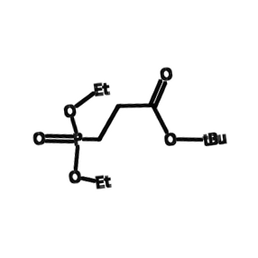 CCOP(=O)(CCC(=O)OC(C)(C)C)OCC